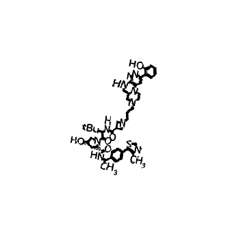 Cc1ncsc1-c1ccc(C(C)NC(=O)[C@@H]2C[C@@H](O)CN2C(=O)C(NC(=O)C2CN(CCCN3CCN4c5cc(-c6ccccc6O)nnc5NCC4C3)C2)C(C)(C)C)cc1